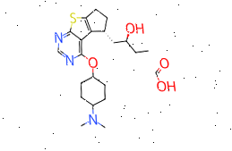 CC[C@H](O)C[C@H]1CCc2sc3ncnc(OC4CCC(N(C)C)CC4)c3c21.O=CO